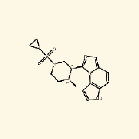 C[C@H]1CCN(S(=O)(=O)C2CC2)C[C@H]1c1ncc2cnc3[nH]ccc3n12